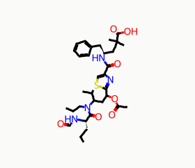 CCC[C@H](NC=O)C(=O)N(CCC)C(CC(OC(C)=O)c1nc(C(=O)N[C@@H](Cc2ccccc2)CC(C)(C)C(=O)O)cs1)C(C)C